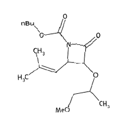 CCCCOC(=O)N1C(=O)C(OC(C)COC)C1C=C(C)C